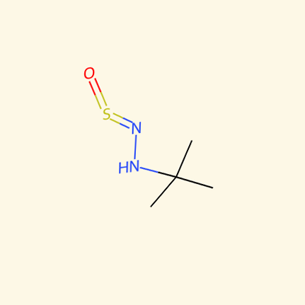 CC(C)(C)NN=S=O